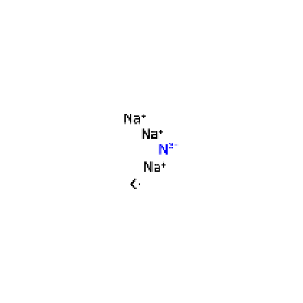 [K].[N-3].[Na+].[Na+].[Na+]